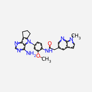 COc1cc(-n2c3c(c4ncnc(N)c42)CCC3)ccc1NC(=O)Cc1cnc2c(ccn2C)c1